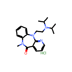 CC(C)N(CCN1c2ccccc2N(C)C(=O)c2cccnc21)C(C)C.Cl